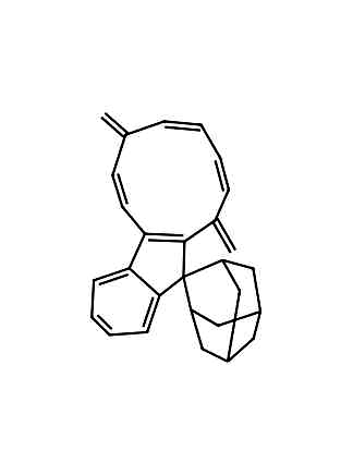 C=c1ccccc(=C)c2c(cc1)-c1ccccc1C21C2CC3CC(C2)CC1C3